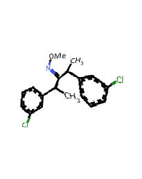 CON=C(C(C)c1cccc(Cl)c1)C(C)c1cccc(Cl)c1